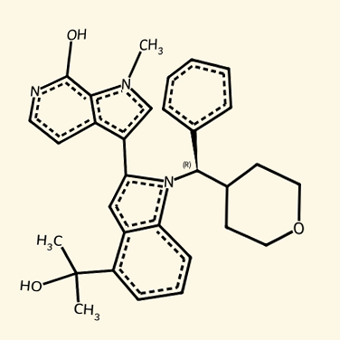 Cn1cc(-c2cc3c(C(C)(C)O)cccc3n2[C@@H](c2ccccc2)C2CCOCC2)c2ccnc(O)c21